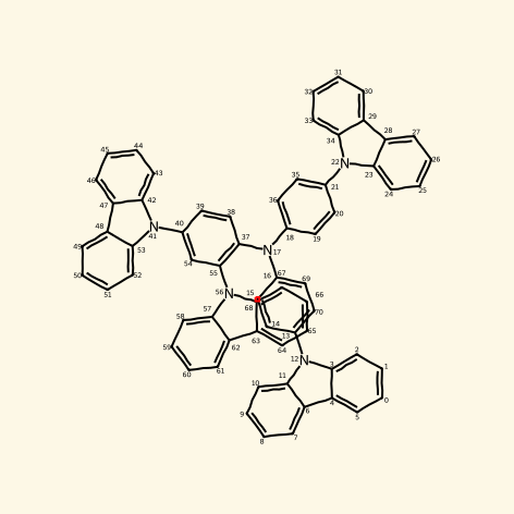 c1ccc2c(c1)c1ccccc1n2-c1ccc(N(c2ccc(-n3c4ccccc4c4ccccc43)cc2)c2ccc(-n3c4ccccc4c4ccccc43)cc2-n2c3ccccc3c3ccccc32)cc1